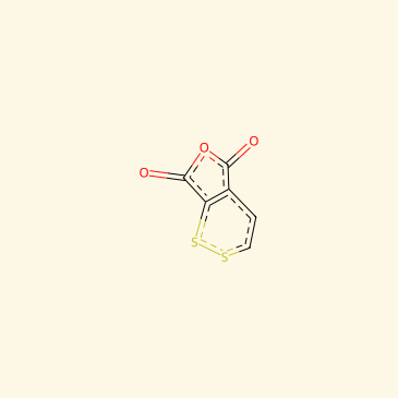 O=c1oc(=O)c2ssccc1=2